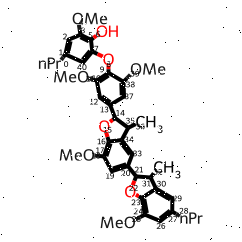 CCCc1cc(OC)c(O)c(Oc2c(OC)cc(C3Oc4c(OC)cc(C5Oc6c(OC)cc(CCC)cc6C5C)cc4C3C)cc2OC)c1